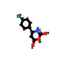 O=c1cc(-c2ccc(Cl)cc2)[nH]c(=O)o1